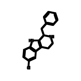 Clc1ccc2[nH]c3c(c2c1)CCNC3Cc1ccccc1